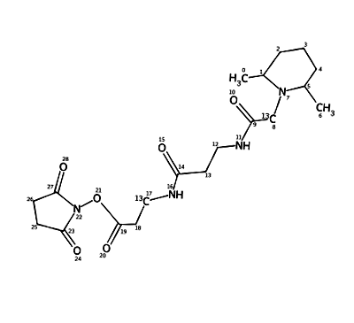 CC1CCCC(C)N1[13CH2]C(=O)NCCC(=O)N[13CH2]CC(=O)ON1C(=O)CCC1=O